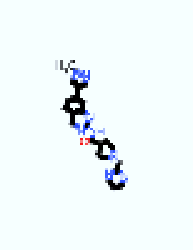 Cn1cc(-c2ccc3cnc(NC(=O)C4CCN(Cc5ncccn5)CC4)nc3c2)cn1